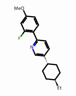 CC[C@H]1CC[C@H](c2ccc(-c3ccc(OC)cc3F)nc2)CC1